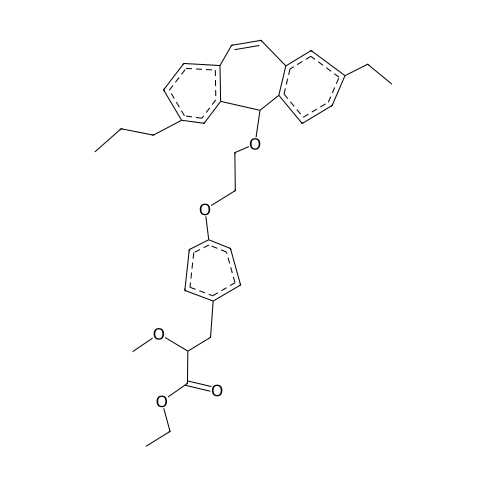 CCCc1ccc2c(c1)C(OCCOc1ccc(CC(OC)C(=O)OCC)cc1)c1ccc(CC)cc1C=C2